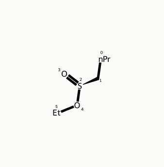 CCCC[S@](=O)OCC